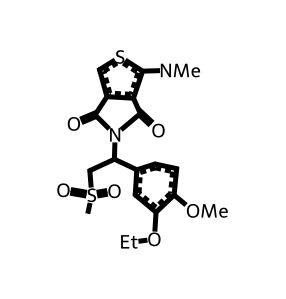 CCOc1cc(C(CS(C)(=O)=O)N2C(=O)c3csc(NC)c3C2=O)ccc1OC